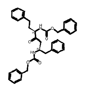 O=C(N[C@@H](CC(=O)[C@@H](CCc1ccccc1)NC(=O)OCc1ccccc1)Cc1ccccc1)OCc1ccccc1